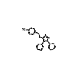 N#Cc1ccc(CSc2nnc(-c3ccccc3)n2-c2ccccc2)cc1